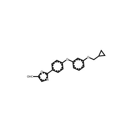 O=Cc1cnc(-c2ccc(Oc3cccc(OCC4CC4)c3)cc2)o1